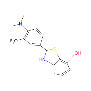 CN(C)c1ccc(C2NC3CC=CC(O)=C3S2)cc1C(F)(F)F